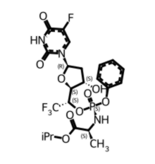 CC(C)OC(=O)[C@H](C)N[P@@](=O)(Oc1ccccc1)O[C@@H]([C@H]1O[C@@H](n2cc(F)c(=O)[nH]c2=O)C[C@@H]1O)C(F)(F)F